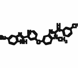 Cn1c(Nc2cccc(C(F)(F)F)c2)nc2cc(Oc3ccnc(-c4nc5cc(C(C)(C)C)ccc5[nH]4)c3)ccc21